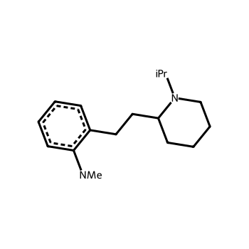 CNc1ccccc1CCC1CCCCN1C(C)C